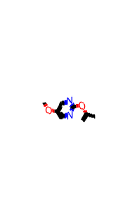 COc1cnc(OC(C)C)nc1